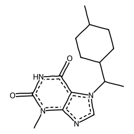 CC1CCC(C(C)n2cnc3c2c(=O)[nH]c(=O)n3C)CC1